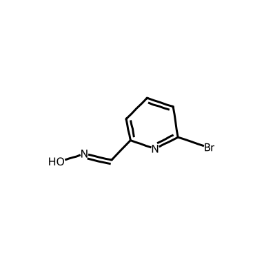 ON=Cc1cccc(Br)n1